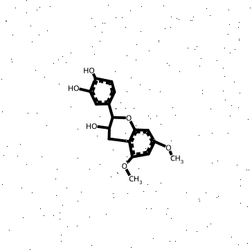 COc1cc(OC)c2c(c1)OC(c1ccc(O)c(O)c1)C(O)C2